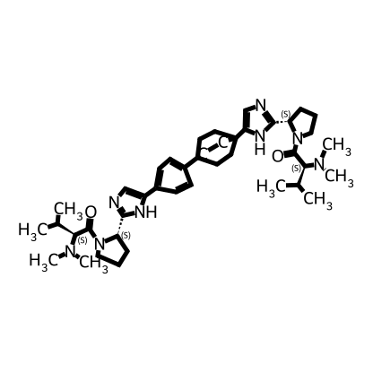 CC(C)[C@@H](C(=O)N1CCC[C@H]1c1ncc(-c2ccc(C34CCC(c5cnc([C@@H]6CCCN6C(=O)[C@H](C(C)C)N(C)C)[nH]5)(CC3)CC4)cc2)[nH]1)N(C)C